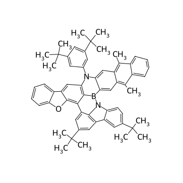 Cc1c2ccccc2c(C)c2cc3c(cc12)B1c2c(cc4c(oc5ccccc54)c2-c2cc(C(C)(C)C)cc4c5cc(C(C)(C)C)ccc5n1c24)N3c1cc(C(C)(C)C)cc(C(C)(C)C)c1